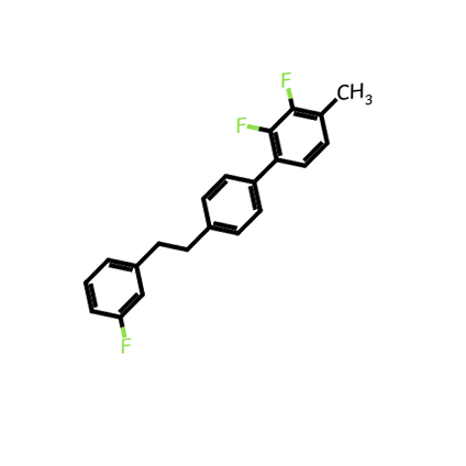 Cc1ccc(-c2ccc(CCc3cccc(F)c3)cc2)c(F)c1F